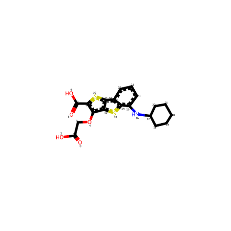 O=C(O)COc1c(C(=O)O)sc2c1sc1c(NC3CCCCC3)cccc12